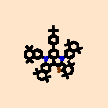 CC(C)(C)c1ccc(-c2cc3c4c(c2)N(c2ccc5c(c2)C(C)(C)CCC5(C)C)c2c(sc5c2C(C)(C)CCC5(C)C)B4c2cc4c(cc2N3c2ccc3c(c2)C(C)(C)CCC3(C)C)C(C)(C)CCC4(C)C)cc1